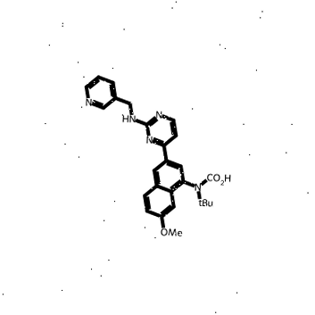 COc1ccc2cc(-c3ccnc(NCc4cccnc4)n3)cc(N(C(=O)O)C(C)(C)C)c2c1